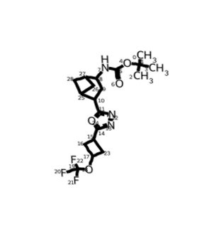 CC(C)(C)OC(=O)NC1CC(c2nnc(C3CC(OC(F)(F)F)C3)o2)C2CC1C2